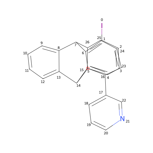 Ic1cccc2c1C1c3ccccc3C2c2c(-c3cccnc3)cccc21